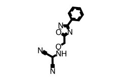 N#CC(C#N)NOCc1nc(-c2ccccc2)no1